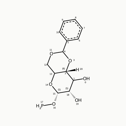 OC1[C@H]2OC(c3ccccc3)OCC2O[C@@H](OP)[C@H]1O